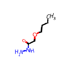 CCCCOCC(=O)NN